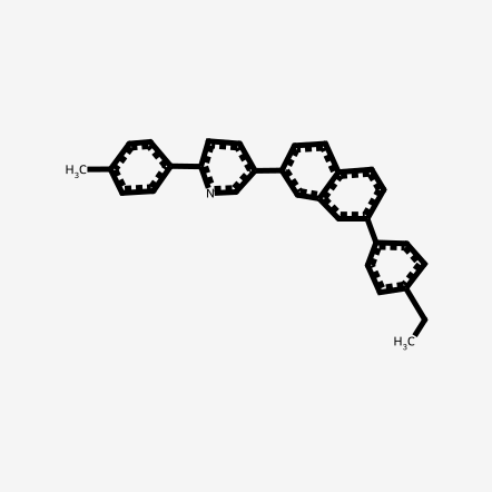 CCc1ccc(-c2ccc3ccc(-c4ccc(-c5ccc(C)cc5)nc4)cc3c2)cc1